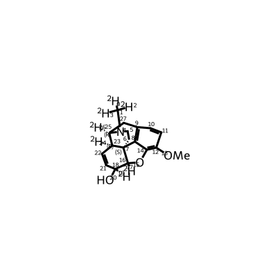 [2H]C([2H])([2H])N1CC[C@]23c4c5ccc(OC)c4OC2([2H])C([2H])(O)C=C[C@@]3([2H])[C@@]1([2H])C5